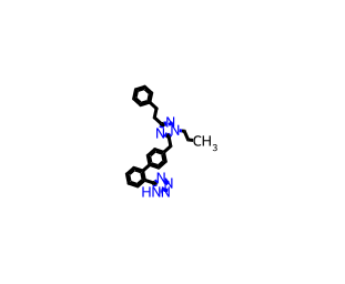 CCCn1nc(CCc2ccccc2)nc1Cc1ccc(-c2ccccc2-c2nnn[nH]2)cc1